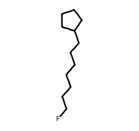 FCCCCCCCC1CCCC1